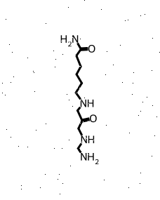 NCNCC(=O)CNCCCCCC(N)=O